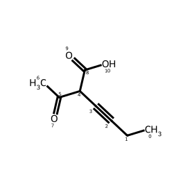 CCC#CC(C(C)=O)C(=O)O